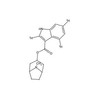 [2H]c1cc([2H])c2c(C(=O)OC3CC4CCC(C3)N4C)c([2H])[nH]c2c1